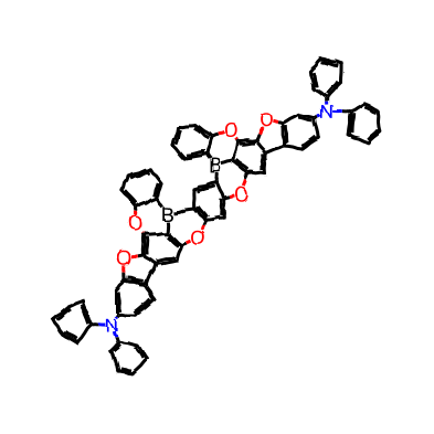 c1ccc(N(c2ccccc2)c2ccc3c(c2)oc2c4c5c(cc23)Oc2cc3c(cc2B5c2ccccc2O4)B2c4ccccc4Oc4c2c(cc2c4oc4cc(N(c5ccccc5)c5ccccc5)ccc42)O3)cc1